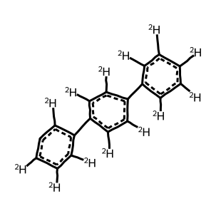 [2H]c1cc([2H])c(-c2c([2H])c([2H])c(-c3c([2H])c([2H])c([2H])c([2H])c3[2H])c([2H])c2[2H])c([2H])c1[2H]